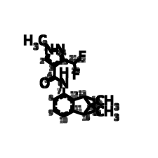 Cn1cc(C(=O)Nc2cccc3c2C2CCC3C2(C)C)c(C(F)F)n1